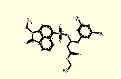 CCOC(=O)CC(Cc1cc(C)cc(C)c1)NS(=O)(=O)c1ccc2c3c(cccc13)C(=O)N2CC